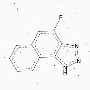 Fc1cc2ccccc2c2[nH]nnc12